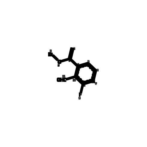 C=C(OCC)c1ccnc(F)c1C=O